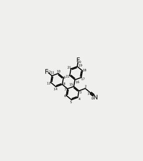 N#CCc1cccc(-c2ccc(F)cc2)c1-c1ccc(F)cc1